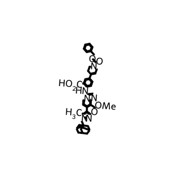 COC(=O)c1c(-c2cnn(CC34CC5CC(CC(C5)C3)C4)c2C)ccn2c(Nc3ccc(C4=CCN(C(=O)OCc5ccccc5)CC4)cc3C(=O)O)cnc12